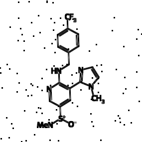 CN[S+]([O-])c1cnc(NCc2ccc(C(F)(F)F)cc2)c(-c2nccn2C)c1